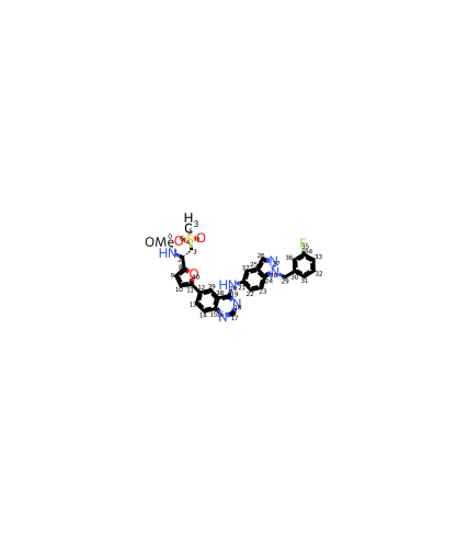 CON[C@H](CS(C)(=O)=O)c1ccc(-c2ccc3ncnc(Nc4ccc5c(cnn5Cc5cccc(F)c5)c4)c3c2)o1